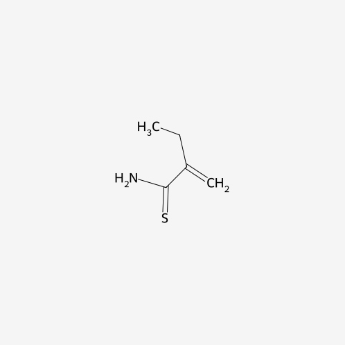 C=C(CC)C(N)=S